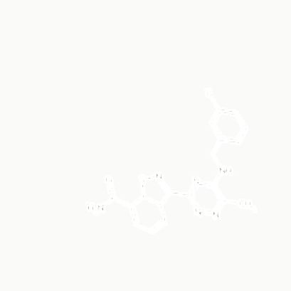 Cc1nnc(C2=NSC3C(C(N)=O)=CC=CC23)nc1NCc1cccc(F)c1